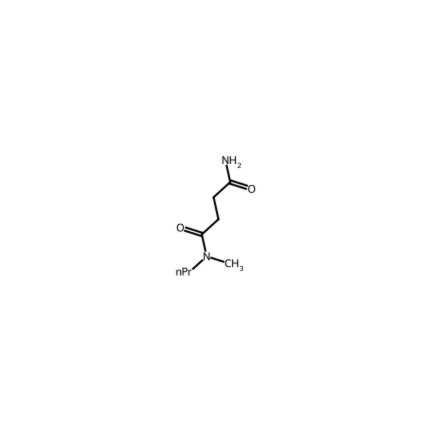 CCCN(C)C(=O)CCC(N)=O